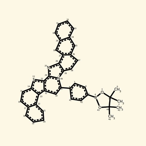 CC1(C)OB(c2ccc(-c3cc4c(sc5ccc6ccccc6c54)c4nc5c6cc7ccccc7cc6ccc5n34)cc2)OC1(C)C